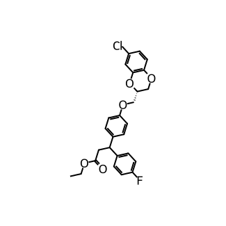 CCOC(=O)CC(c1ccc(F)cc1)c1ccc(OC[C@H]2COc3ccc(Cl)cc3O2)cc1